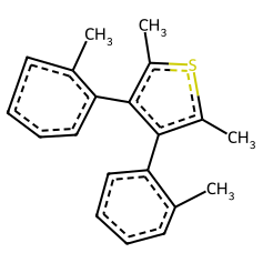 Cc1ccccc1-c1c(C)sc(C)c1-c1ccccc1C